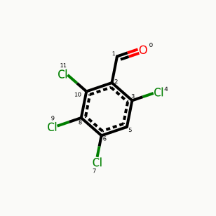 O=Cc1c(Cl)cc(Cl)c(Cl)c1Cl